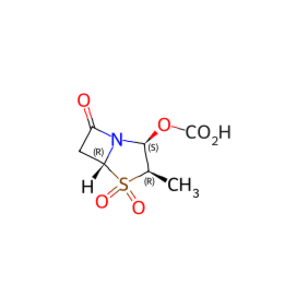 C[C@@H]1[C@H](OC(=O)O)N2C(=O)C[C@H]2S1(=O)=O